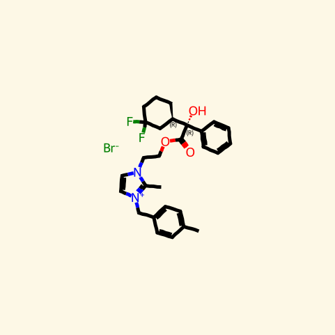 Cc1ccc(C[n+]2ccn(CCOC(=O)[C@](O)(c3ccccc3)[C@@H]3CCCC(F)(F)C3)c2C)cc1.[Br-]